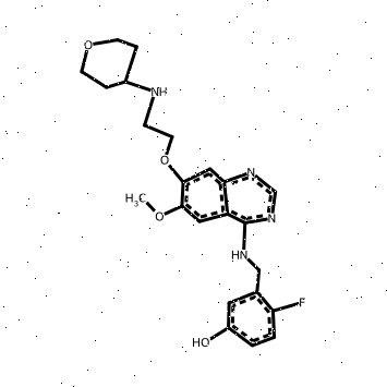 COc1cc2c(NCc3cc(O)ccc3F)ncnc2cc1OCCNC1CCOCC1